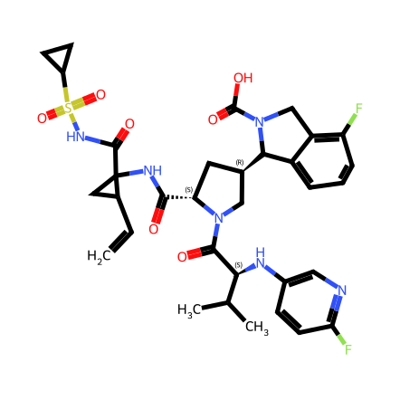 C=CC1CC1(NC(=O)[C@@H]1C[C@@H](C2c3cccc(F)c3CN2C(=O)O)CN1C(=O)[C@@H](Nc1ccc(F)nc1)C(C)C)C(=O)NS(=O)(=O)C1CC1